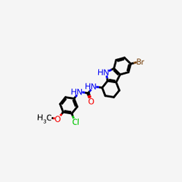 COc1ccc(NC(=O)NC2CCCc3c2[nH]c2ccc(Br)cc32)cc1Cl